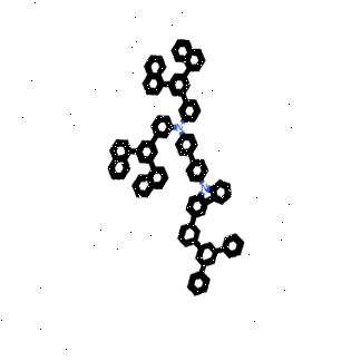 C1=CC(c2ccc3c(c2)c2ccccc2n3-c2ccc(-c3ccc(N(c4cccc(-c5cc(-c6cccc7ccccc67)cc(-c6cccc7ccccc67)c5)c4)c4cccc(-c5cc(-c6cccc7ccccc67)cc(-c6cccc7ccccc67)c5)c4)cc3)cc2)CC(C2=CC(c3ccccc3)=CC(c3ccccc3)C2)=C1